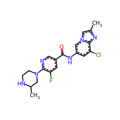 Cc1cn2cc(NC(=O)c3cnc(N4CCNC(C)C4)c(F)c3)cc(Cl)c2n1